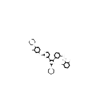 O=S(=O)(Nc1cccc(-c2nc(N3CCCCC3)sc2-c2ccnc(Nc3ccc(N4CCOCC4)c(F)c3)n2)c1)c1c(F)cccc1F